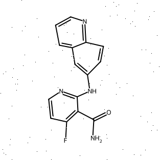 NC(=O)c1c(F)ccnc1Nc1ccc2ncccc2c1